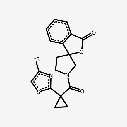 CC(C)(C)c1csc(C2(C(=O)N3CCC4(C3)OC(=O)c3ccccc34)CC2)n1